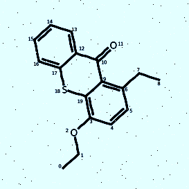 CCOc1ccc(CC)c2c(=O)c3ccccc3sc12